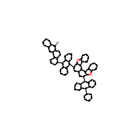 CCc1c2ccccc2cc2c1ccc1c(-c3c4ccccc4c(-c4cc5cc(-c6c7ccccc7c(-c7ccccc7)c7ccccc67)c6oc7ccccc7c6c5c5c4oc4ccccc45)c4ccccc34)cccc12